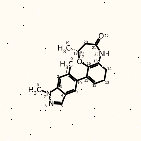 Cc1cc2c(cnn2C)cc1C1=CCCC2=C1O[C@H](C)CC(=O)N2